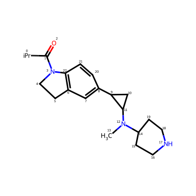 CC(C)C(=O)N1CCc2cc(C3CC3N(C)C3CCNCC3)ccc21